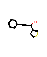 OC(C#Cc1ccccc1)C1=CSCC1